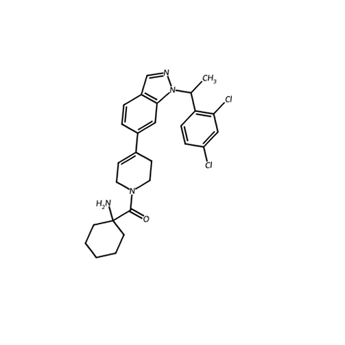 CC(c1ccc(Cl)cc1Cl)n1ncc2ccc(C3=CCN(C(=O)C4(N)CCCCC4)CC3)cc21